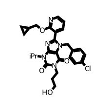 CC(C)n1c(=O)n(CCCO)c(=O)c2c1nc(-c1cccnc1OCC1CC1)n2Cc1ccc(Cl)cc1